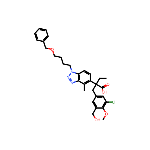 CCC(Cc1cc(Cl)c(OC)c(CO)c1)(C(=O)O)c1ccc2c(nnn2CCCCOCc2ccccc2)c1C